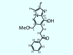 COCc1cn2c(C)c(C)nc2c(O)c1CCC(=O)c1ccccc1